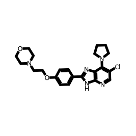 Clc1cnc2[nH]c(-c3ccc(OCCN4CCOCC4)cc3)nc2c1N1CCCC1